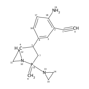 C#Cc1cc(C(C)CP(=C)(N2CC2)N2CC2)ccc1N